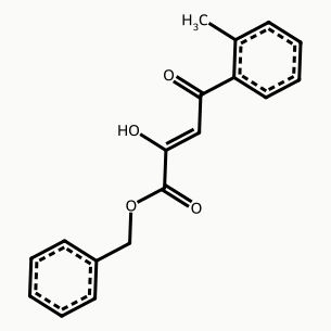 Cc1ccccc1C(=O)/C=C(\O)C(=O)OCc1ccccc1